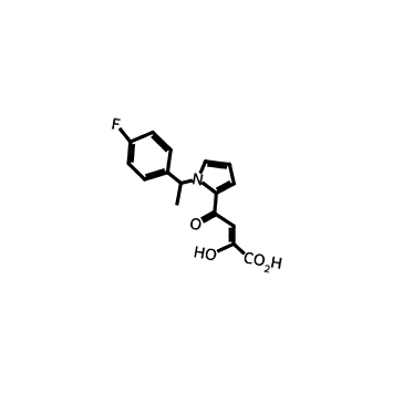 CC(c1ccc(F)cc1)n1cccc1C(=O)/C=C(\O)C(=O)O